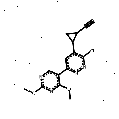 C#CC1CC1c1cc(-c2cnc(OC)nc2OC)nnc1Cl